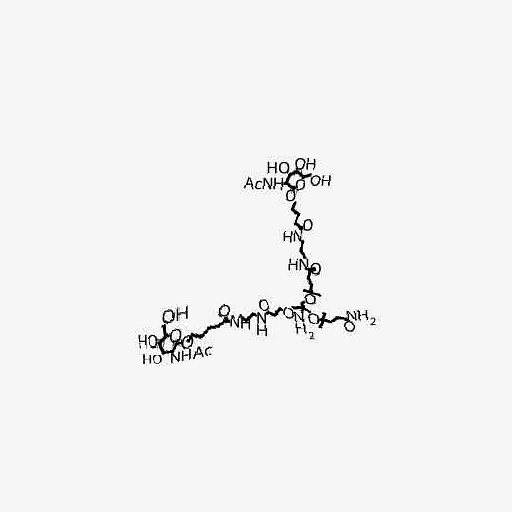 CC(=O)NC1C(O)[C@@H](O)C(CO)O[C@H]1OCCCCC(=O)NCCCNC(=O)CCOCC(N)(COC(C)(C)CCC(N)=O)COC(C)(C)CCC(=O)NCCCNC(=O)CCCCO[C@@H]1OC(CO)[C@H](O)C(O)C1NC(C)=O